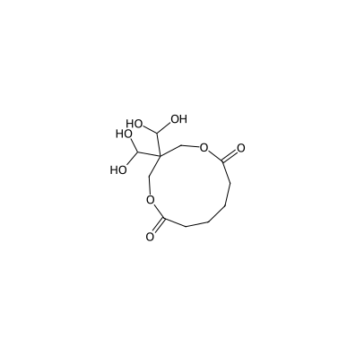 O=C1CCCCC(=O)OCC(C(O)O)(C(O)O)CO1